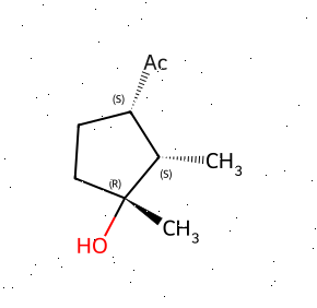 CC(=O)[C@H]1CC[C@@](C)(O)[C@H]1C